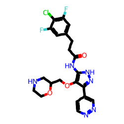 O=C(CCc1cc(F)c(Cl)c(F)c1)Nc1[nH]nc(-c2ccnnc2)c1OCC1CNCCO1